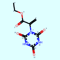 C=C(C(=O)OCC)n1c(=O)[nH]c(=O)[nH]c1=O